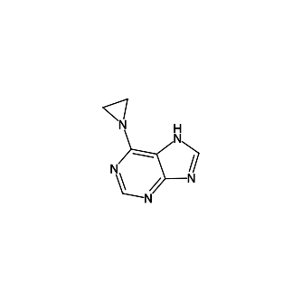 c1nc(N2CC2)c2[nH]cnc2n1